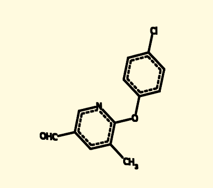 Cc1cc(C=O)cnc1Oc1ccc(Cl)cc1